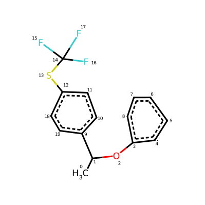 CC(Oc1[c]cccc1)c1ccc(SC(F)(F)F)cc1